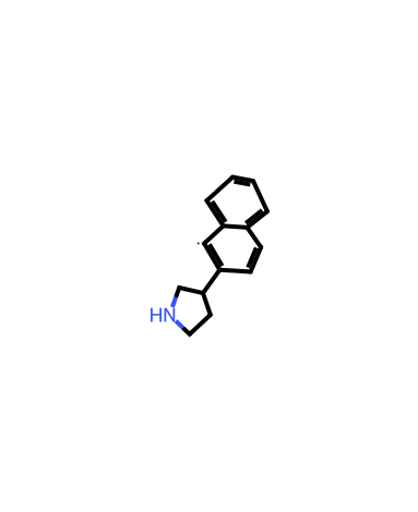 [c]1c(C2CCNC2)ccc2ccccc12